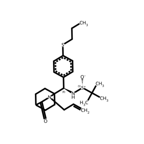 C=CCN1C(=O)C2CCC1([C@H](N[S@+]([O-])C(C)(C)C)c1ccc(SCCC)cc1)CC2